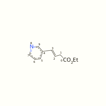 CCOC(=O)CC=Cc1cccnc1